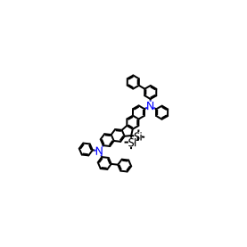 C[Si](C)(C)C1([Si](C)(C)C)c2cc3cc(N(c4ccccc4)c4cccc(-c5ccccc5)c4)ccc3cc2-c2cc3ccc(N(c4ccccc4)c4cccc(-c5ccccc5)c4)cc3cc21